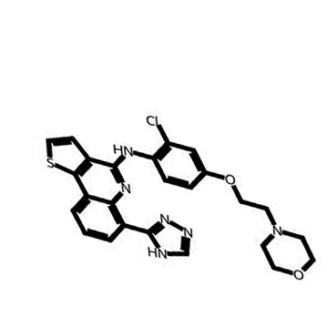 Clc1cc(OCCN2CCOCC2)ccc1Nc1nc2c(-c3nnc[nH]3)cccc2c2sccc12